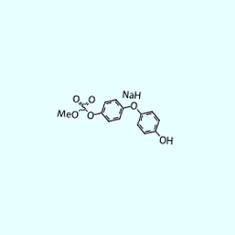 COS(=O)(=O)Oc1ccc(Oc2ccc(O)cc2)cc1.[NaH]